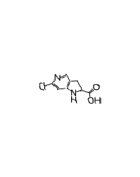 O=C(O)C1Cc2cnc(Cl)cc2N1